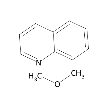 COC.c1ccc2ncccc2c1